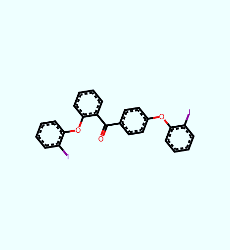 O=C(c1ccc(Oc2ccccc2I)cc1)c1ccccc1Oc1ccccc1I